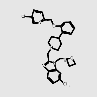 Cc1ccc2nc(CN3CCC(c4ccccc4OCc4ccc(Cl)cn4)CC3)n(C[C@@H]3CCO3)c2c1